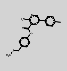 Cc1ccc(-c2cnc(N)c(C(=O)Nc3ccc(CSN)cc3)n2)cc1